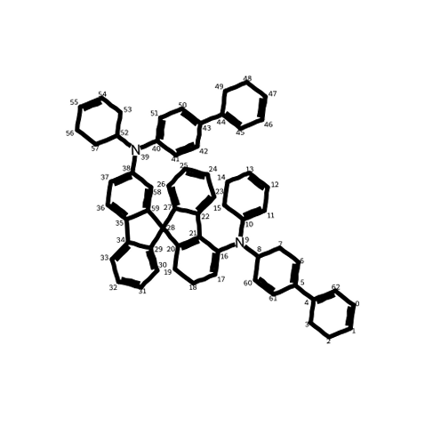 C1=CCCC(C2=CCC(N(C3=CC=CCC3)C3=CCCC4=C3c3ccccc3C43c4ccccc4-c4ccc(N(c5ccc(C6=CC=CCC6)cc5)C5CC=CCC5)cc43)C=C2)=C1